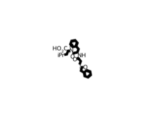 CC(C)C[C@H](NC(=O)C(Cc1ccccc1)NC(=O)CC[C@H]1Cc2ccccc2O1)C(=O)O